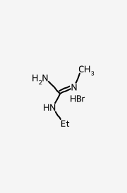 Br.CCNC(N)=NC